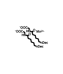 CCCCCCCCCCCCCCCC(=O)NCC(=O)[O-].CCCCCCCCCCCCCCCC(=O)NCC(=O)[O-].[Mn+2]